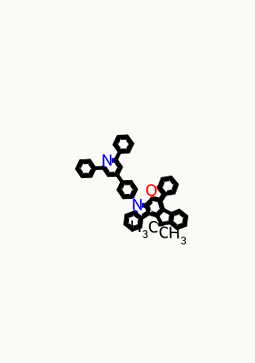 CC1(C)c2ccccc2-c2c1c1c3ccccc3n(-c3ccc(-c4cc(-c5ccccc5)nc(-c5ccccc5)c4)cc3)c1c1oc3ccccc3c21